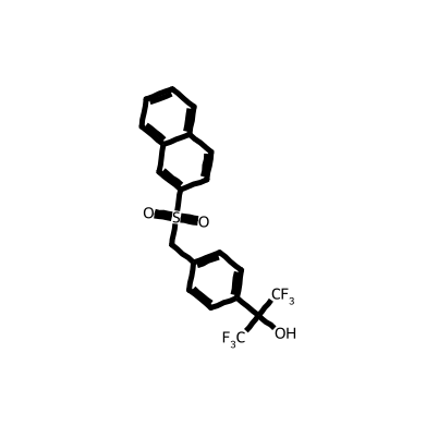 O=S(=O)(Cc1ccc(C(O)(C(F)(F)F)C(F)(F)F)cc1)c1ccc2ccccc2c1